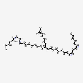 CCCCC/C=C\C/C=C\CCCCCCCCC(CCCCCCCC/N=C\C/C=C\CCCCC)CCCCCN(C)C